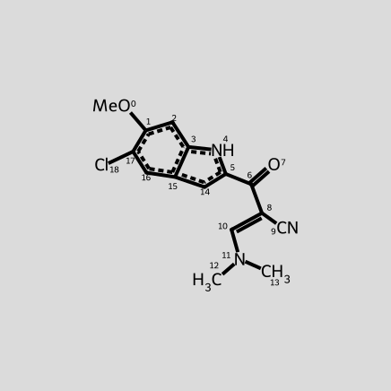 COc1cc2[nH]c(C(=O)C(C#N)=CN(C)C)cc2cc1Cl